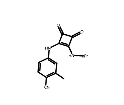 CCCNc1c(Nc2ccc(C#N)c(C)c2)c(=O)c1=O